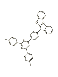 Cc1ccc(-c2cc(-c3ccc(-c4c5ccccc5n5c4oc4ccccc45)cc3)nc(-c3ccc(C)cc3)n2)cc1